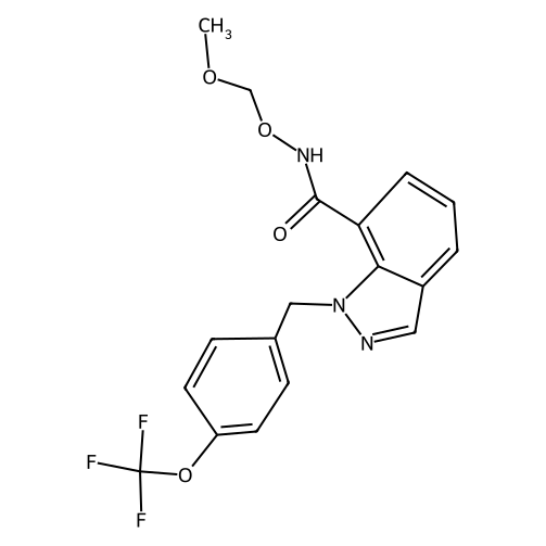 COCONC(=O)c1cccc2cnn(Cc3ccc(OC(F)(F)F)cc3)c12